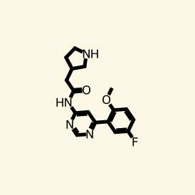 COc1ccc(F)cc1-c1cc(NC(=O)CC2CCNC2)ncn1